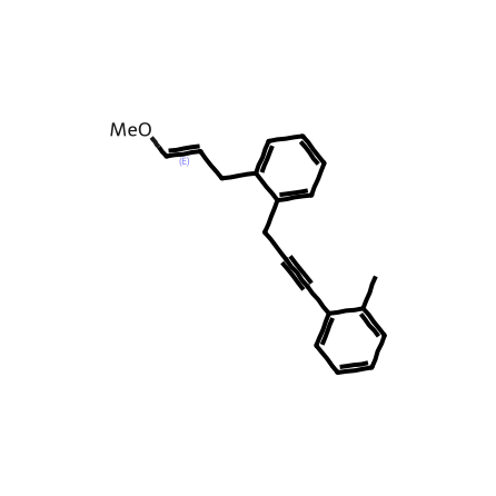 CO/C=C/Cc1ccccc1CC#Cc1ccccc1C